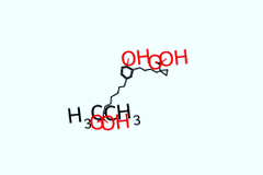 CC(C)(CCCCCCc1ccc(O)c(CCCCC2(C(=O)O)CC2)c1)C(=O)O